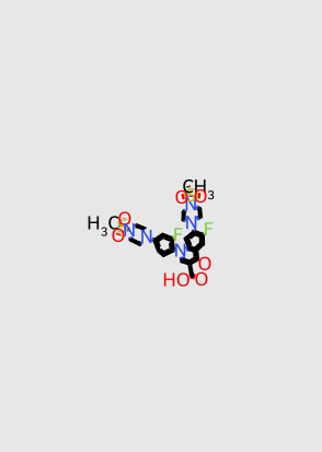 CS(=O)(=O)N1CCN(c2ccc(-n3cc(C(=O)O)c(=O)c4cc(F)c(N5CCN(S(C)(=O)=O)CC5)cc43)c(F)c2)CC1